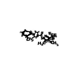 Cc1ccccc1N1CCN(C(=O)Cn2nc(C(F)(F)F)c(C)c2C)CC1